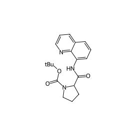 CC(C)(C)OC(=O)N1CCCC1C(=O)Nc1cccc2cccnc12